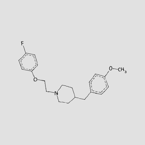 COc1ccc(CC2CCN(CCOc3ccc(F)cc3)CC2)cc1